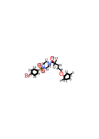 Cc1ccc(C)c(OCCCC(C)(C)C(=O)N2CCN(S(=O)(=O)c3ccc(Br)cc3)CC2)c1